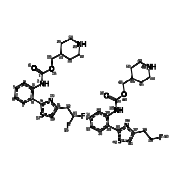 O=C(Nc1ccccc1-c1nc(CC(F)F)cs1)OCC1CCNCC1.O=C(Nc1ccccc1-c1nc(CCF)cs1)OCC1CCNCC1